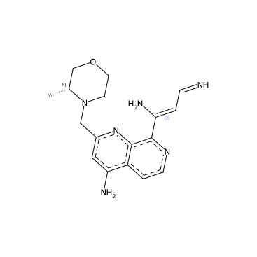 C[C@@H]1COCCN1Cc1cc(N)c2ccnc(/C(N)=C/C=N)c2n1